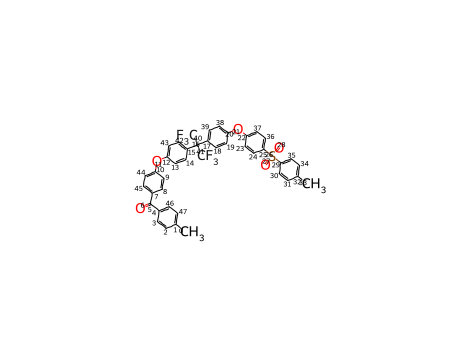 Cc1ccc(C(=O)c2ccc(Oc3ccc(C(c4ccc(Oc5ccc(S(=O)(=O)c6ccc(C)cc6)cc5)cc4)(C(F)(F)F)C(F)(F)F)cc3)cc2)cc1